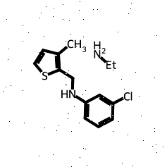 CCN.Cc1ccsc1CNc1cccc(Cl)c1